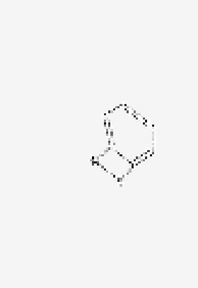 c1ccc2c(c1)[N]S2